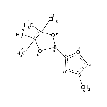 Cc1coc(B2OC(C)(C)C(C)(C)O2)c1